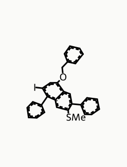 CSc1cc2c(-c3ccccc3)c(I)cc(OCc3ccccc3)c2cc1-c1ccccc1